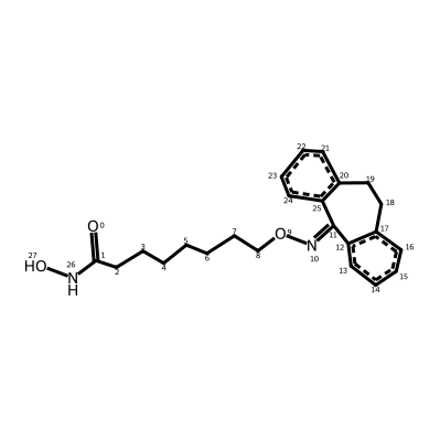 O=C(CCCCCCCON=C1c2ccccc2CCc2ccccc21)NO